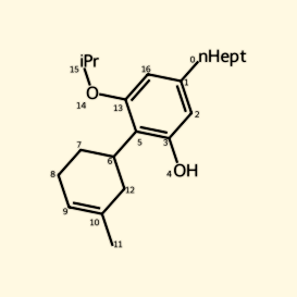 CCCCCCCc1cc(O)c(C2CCC=C(C)C2)c(OC(C)C)c1